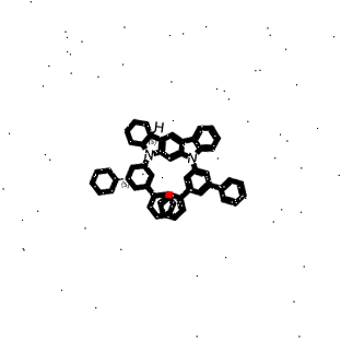 c1ccc(-c2cc(-c3ccccc3)cc(-n3c4ccccc4c4cc5c(cc43)N(C3CC(C4CCCCC4)C[C@H](C4CCCCC4)C3)C3CCCC[C@@H]53)c2)cc1